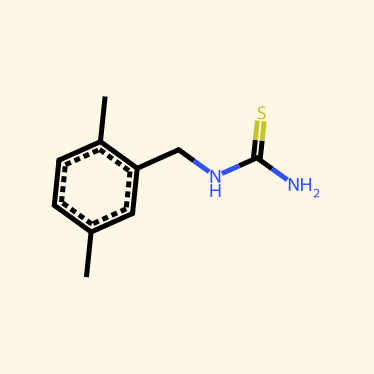 Cc1ccc(C)c(CNC(N)=S)c1